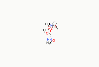 CC(=O)NCCCC(=O)OC(C)OC(=O)N(C)[C@]1(C)CCCCC1=O